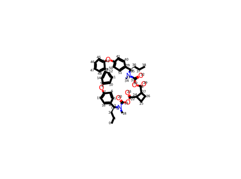 CCC[C@@H](c1ccc(Oc2ccccc2)cc1)N(C)C(=O)OC(=O)C1CCC1C(=O)OC(=O)N(C)[C@@H](CCC)c1ccc(Oc2ccccc2)cc1